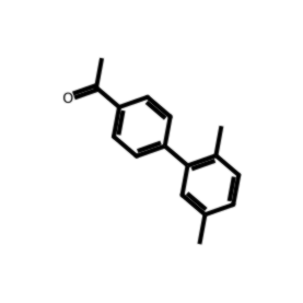 CC(=O)c1ccc(-c2cc(C)ccc2C)cc1